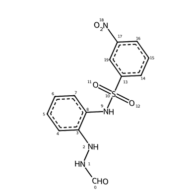 O=CNNc1ccccc1NS(=O)(=O)c1cccc([N+](=O)[O-])c1